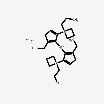 CCC[Si]1(C2=CCC(CC)=[C]2[Hf+2][C]2=C(CC)CC=C2[Si]2(CCC)CCC2)CCC1.[Cl-].[Cl-]